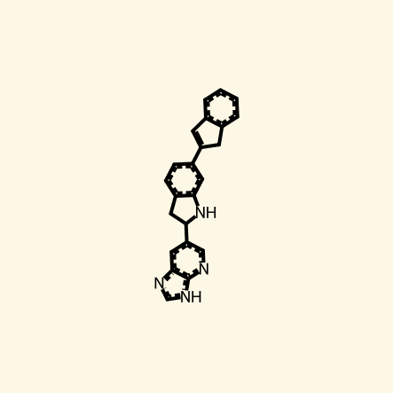 C1=C(c2ccc3c(c2)NC(c2cnc4[nH]cnc4c2)C3)Cc2ccccc21